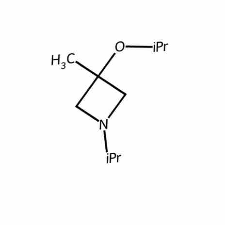 CC(C)OC1(C)CN(C(C)C)C1